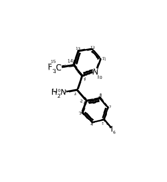 NC(c1ccc(I)cc1)c1ncccc1C(F)(F)F